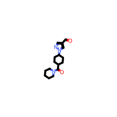 O=Cc1cnn(C2CCC(C(=O)N3CCCCC3)CC2)c1